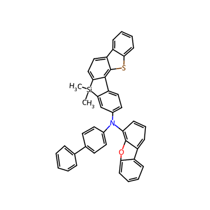 C[Si]1(C)c2cc(N(c3ccc(-c4ccccc4)cc3)c3cccc4c3oc3ccccc34)ccc2-c2c1ccc1c2sc2ccccc21